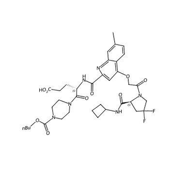 CCCCOC(=O)N1CCN(C(=O)[C@H](CCC(=O)O)NC(=O)c2cc(OCC(=O)N3CC(F)(F)C[C@H]3C(=O)NC3CCC3)c3ccc(C)cc3n2)CC1